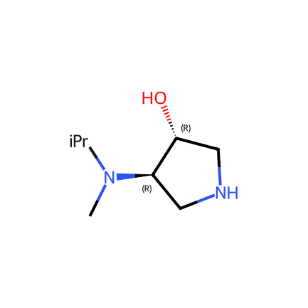 CC(C)N(C)[C@@H]1CNC[C@H]1O